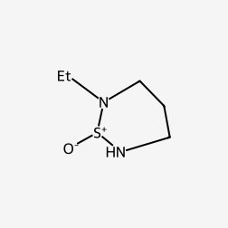 CCN1CCCN[S+]1[O-]